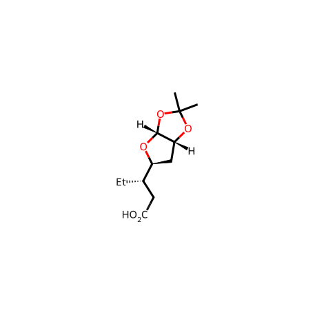 CC[C@@H](CC(=O)O)[C@@H]1C[C@H]2OC(C)(C)O[C@H]2O1